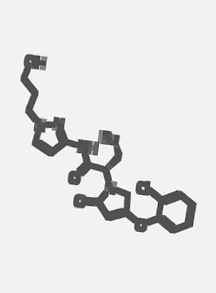 CC[C@H](C)C[C@H](C(=O)Nc1ccn(CCCO)n1)N1CC(Oc2ccccc2Cl)=CC1=O